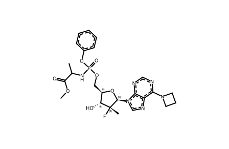 COC(=O)C(C)NP(=O)(OC[C@H]1O[C@@H](n2cnc3c(N4CCC4)ncnc32)[C@](C)(F)[C@@H]1O)Oc1ccccc1